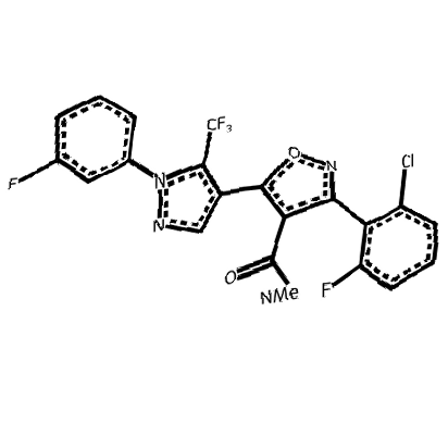 CNC(=O)c1c(-c2c(F)cccc2Cl)noc1-c1cnn(-c2cccc(F)c2)c1C(F)(F)F